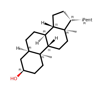 CCC[C@@H](C)[C@H]1CC[C@H]2[C@@H]3CC[C@@H]4C[C@H](O)CC[C@]4(C)[C@H]3CC[C@]12C